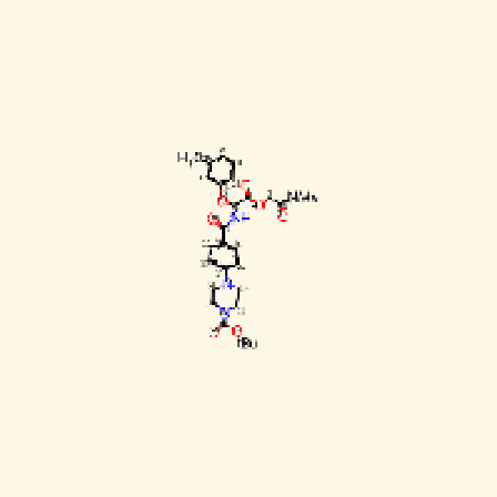 CNC(=O)COC(=O)C(NC(=O)c1ccc(N2CCN(C(=O)OC(C)(C)C)CC2)cc1)Oc1cccc(C)c1